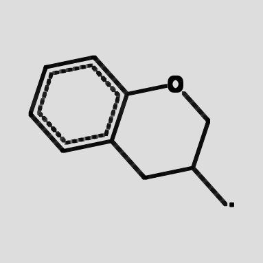 [CH2]C1COc2ccccc2C1